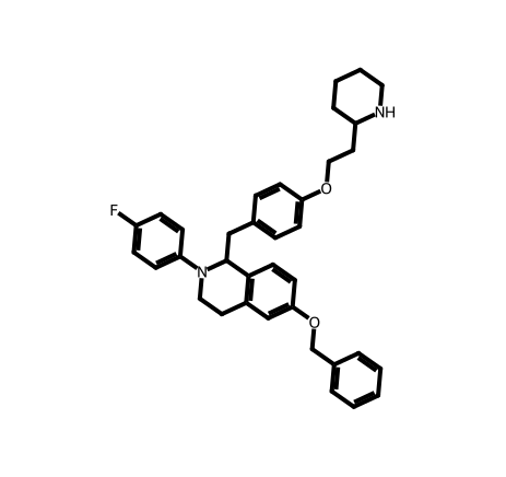 Fc1ccc(N2CCc3cc(OCc4ccccc4)ccc3C2Cc2ccc(OCCC3CCCCN3)cc2)cc1